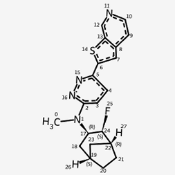 CN(c1ccc(-c2cc3ccncc3s2)nn1)[C@@H]1C[C@H]2CC[C@H](C2)[C@@H]1F